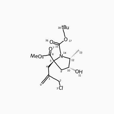 C=C(CCl)C[C@]1(C(=O)OC)C[C@@H](O)[C@@H](C)N1C(=O)OC(C)(C)C